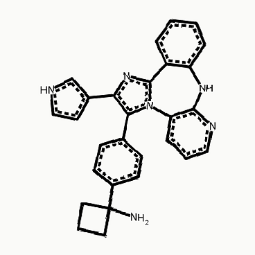 NC1(c2ccc(-c3c(-c4cc[nH]c4)nc4n3-c3cccnc3Nc3ccccc3-4)cc2)CCC1